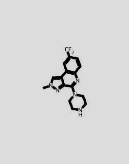 Cn1cc2c(n1)c(N1CCNCC1)nc1ccc(C(F)(F)F)cc12